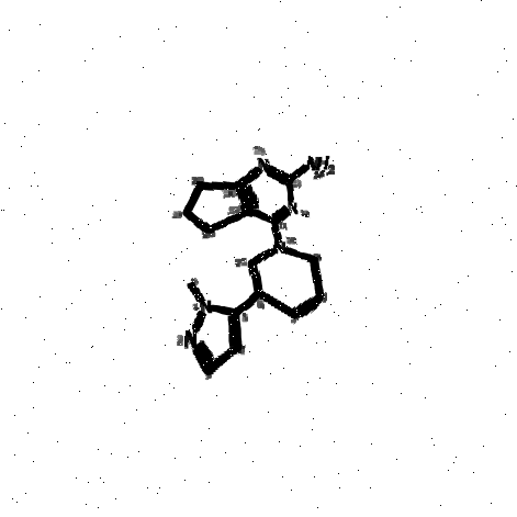 Cn1nccc1C1CCCN(c2nc(N)nc3c2CCC3)C1